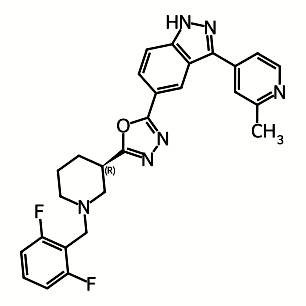 Cc1cc(-c2n[nH]c3ccc(-c4nnc([C@@H]5CCCN(Cc6c(F)cccc6F)C5)o4)cc23)ccn1